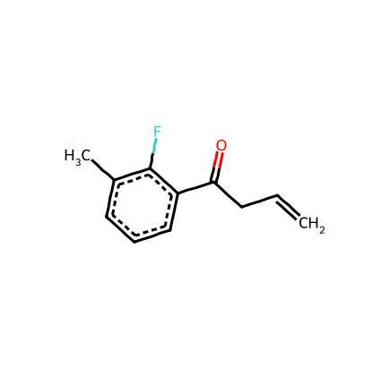 C=CCC(=O)c1cccc(C)c1F